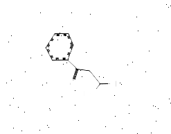 [CH]=C(CC(C)C)c1ccccc1